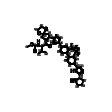 COC(=O)N[C@H](C(=O)N1CC2(C[C@H]1c1ncc(-c3ccc4c(c3)C(F)(F)C(F)(F)c3cc(-c5cnc([C@@H]6CCCN6)[nH]5)ccc3-4)[nH]1)OCCO2)C(C)C